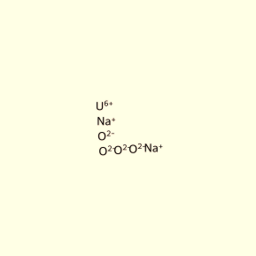 [Na+].[Na+].[O-2].[O-2].[O-2].[O-2].[U+6]